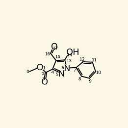 COC(=O)c1nn(-c2ccccc2)c(O)c1C=O